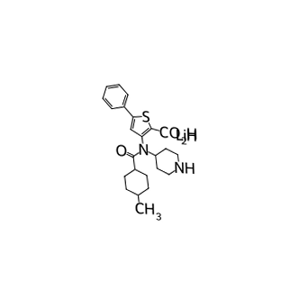 CC1CCC(C(=O)N(c2cc(-c3ccccc3)sc2C(=O)O)C2CCNCC2)CC1.[LiH]